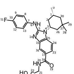 C[C@H]1C[C@@H](n2c(Nc3ccc(F)cc3)nc3cc(C(=O)NCC(=O)O)ccc32)CC(C)(C)C1